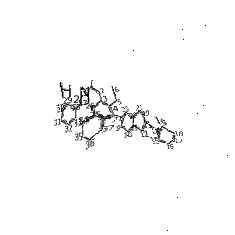 N/C=C\c1c(CI)c(-c2ccc3cc(-c4ccccc4)ccc3c2)c2c(c1Oc1ccccc1)=CCCC=2